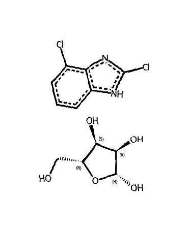 Clc1nc2c(Cl)cccc2[nH]1.OC[C@H]1O[C@@H](O)[C@H](O)[C@@H]1O